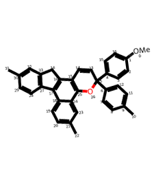 COc1ccc(C2(c3ccc(C)cc3)C=Cc3c4c(c5ccc(C)cc5c3O2)-c2ccc(C)cc2C4)cc1